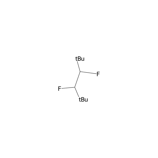 CC(C)(C)C(F)C(F)C(C)(C)C